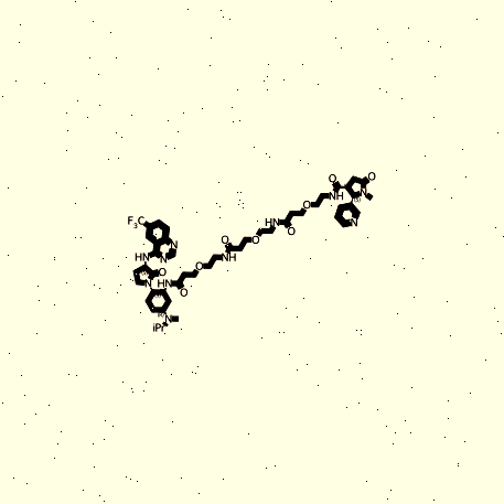 CC(C)N(C)[C@@H]1CC[C@H](N2CC[C@H](Nc3ncnc4ccc(C(F)(F)F)cc34)C2=O)[C@H](NC(=O)CCOCCNC(=O)CCOCCNC(=O)CCOCCNC(=O)[C@H]2CC(=O)N(C)[C@@H]2c2cccnc2)C1